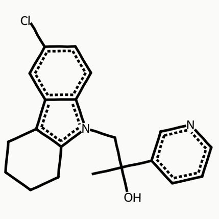 CC(O)(Cn1c2c(c3cc(Cl)ccc31)CCCC2)c1cccnc1